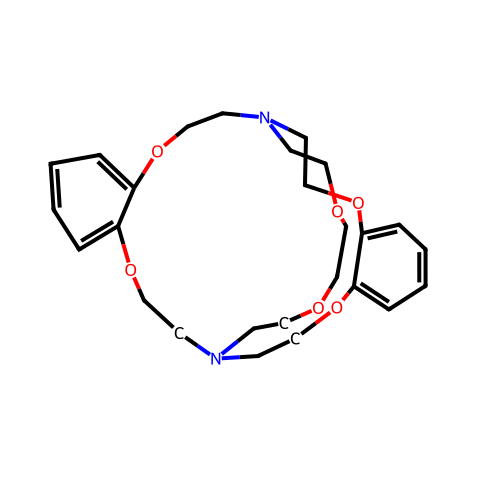 c1ccc2c(c1)OCCN1CCOCCOCCN(CCO2)CCOc2ccccc2OCC1